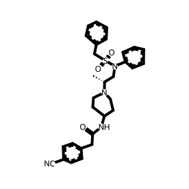 C[C@H](CN(c1ccccc1)S(=O)(=O)Cc1ccccc1)N1CCC(NC(=O)Cc2ccc(C#N)cc2)CC1